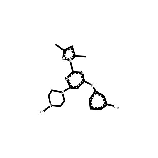 CC(=O)N1CCN(c2cc(Nc3cccc(C(F)(F)F)c3)nc(-n3nc(C)cc3C)n2)CC1